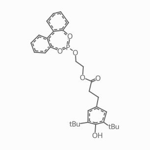 CC(C)(C)c1cc(CCC(=O)OCCOp2oc3ccccc3c3ccccc3o2)cc(C(C)(C)C)c1O